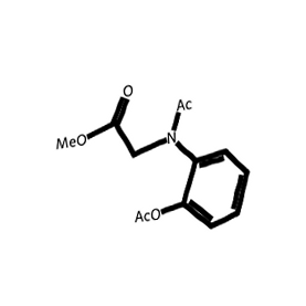 COC(=O)CN(C(C)=O)c1ccccc1OC(C)=O